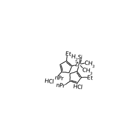 CCCC1=CC(CC)=[C]([Zr]([CH3])([CH3])(=[SiH2])[C]2=C(CC)C=C(CCC)C2)C1.Cl.Cl